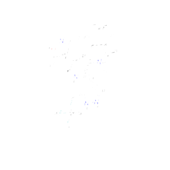 Cc1noc(C)c1-c1cnc2c(-c3cnn(CC(F)(F)F)c3)cn(C(C)c3ccccc3)c2c1